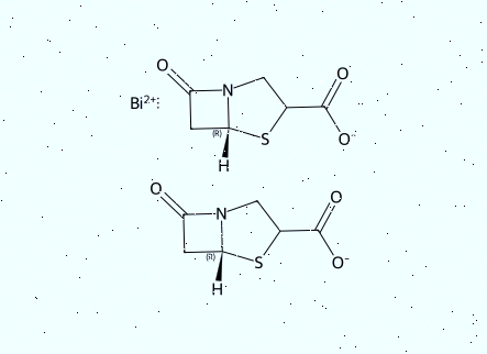 O=C([O-])C1CN2C(=O)C[C@H]2S1.O=C([O-])C1CN2C(=O)C[C@H]2S1.[Bi+2]